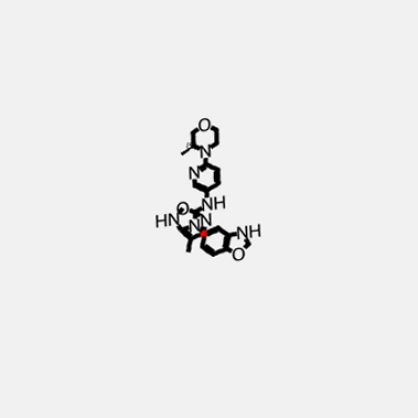 CC1=C2NOC(Nc3ccc(N4CCOC[C@@H]4C)nc3)(N=C1)N2c1ccc2c(c1)NCO2